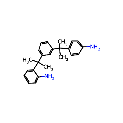 CC(C)(c1ccc(N)cc1)c1cccc(C(C)(C)c2ccccc2N)c1